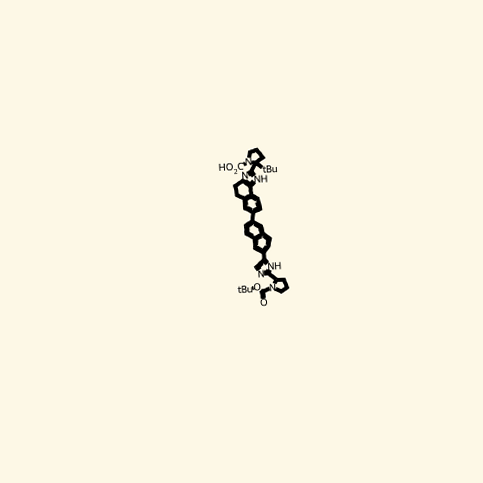 CC(C)(C)OC(=O)N1CCCC1c1ncc(-c2ccc3cc(-c4ccc5c(c4)CCc4nc(C6(C(C)(C)C)CCCN6C(=O)O)[nH]c4-5)ccc3c2)[nH]1